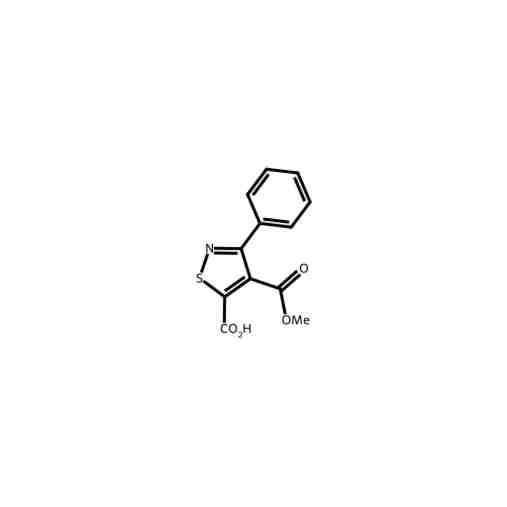 COC(=O)c1c(-c2ccccc2)nsc1C(=O)O